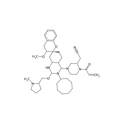 C=CC(=O)N1CCN(C2C3CC[C@]4(CC3NC(OCC3CCCN3C)N2C2CCCCCCC2)Oc2ccccc2CC4OC)CC1CC#N